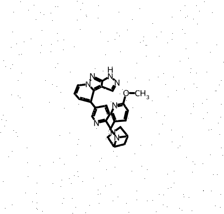 COc1ccc(CN2C3CC2CN(c2ccc(-c4cccn5nc6[nH]ncc6c45)cn2)C3)cn1